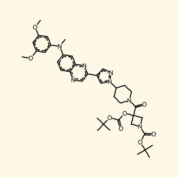 COc1cc(OC)cc(N(C)c2ccc3ncc(-c4cnn(C5CCN(C(=O)C6(OC(=O)OC(C)(C)C)CN(C(=O)OC(C)(C)C)C6)CC5)c4)nc3c2)c1